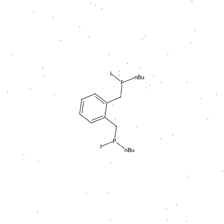 CCCCP(I)Cc1ccccc1CP(I)CCCC